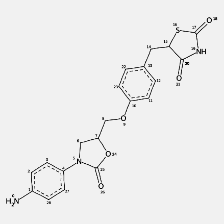 Nc1ccc(N2CC(COc3ccc(CC4SC(=O)NC4=O)cc3)OC2=O)cc1